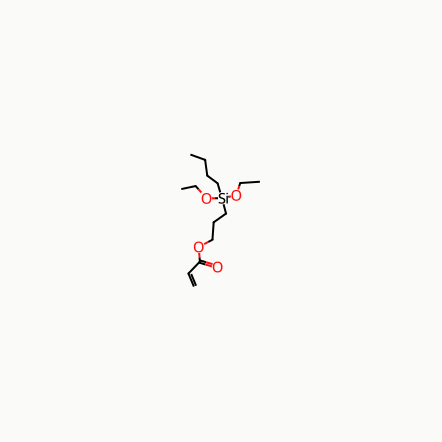 C=CC(=O)OCCC[Si](CCCC)(OCC)OCC